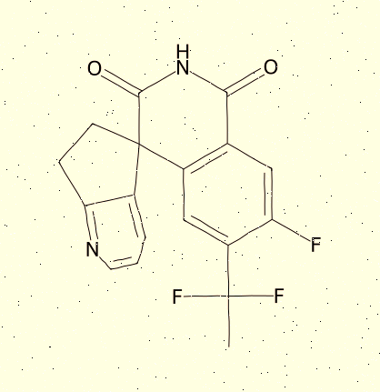 CC(F)(F)c1cc2c(cc1F)C(=O)NC(=O)C21CCc2ncccc21